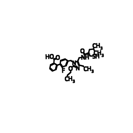 CCCOc1nc(CC)c(CNC(=O)[C@H](CS)CC(C)C)n1Cc1ccc(-c2ccccc2C(=O)O)c(F)c1